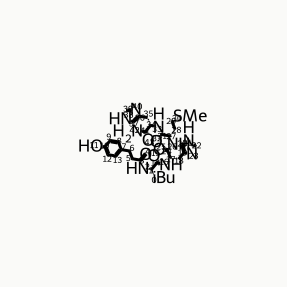 CC[C@H](C)[C@H](NC(=O)CCc1ccc(O)cc1)C(=O)N[C@@H](Cc1c[nH]cn1)C(=O)N[C@@H](CCSC)C(=O)N[C@@H](Cc1c[nH]cn1)C(N)=O